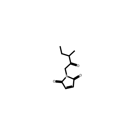 CCC(C)C(=O)CN1C(=O)C=CC1=O